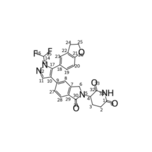 O=C1CCC(N2Cc3cc(-c4cnn(C(F)F)c4-c4ccc5c(c4)CCO5)ccc3C2=O)C(=O)N1